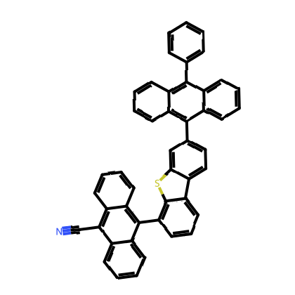 N#Cc1c2ccccc2c(-c2cccc3c2sc2cc(-c4c5ccccc5c(-c5ccccc5)c5ccccc45)ccc23)c2ccccc12